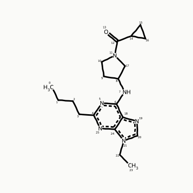 CCCCc1nc(NC2CCN(C(=O)C3CC3)C2)c2ncn(CC)c2n1